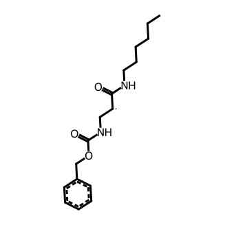 CCCCCCNC(=O)[CH]CNC(=O)OCc1ccccc1